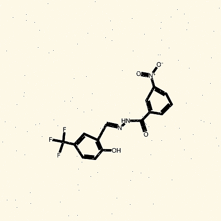 O=C(N/N=C/c1cc(C(F)(F)F)ccc1O)c1cccc([N+](=O)[O-])c1